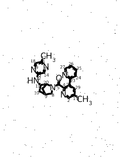 Cc1cnc(C(=O)N2CC3CC(Nc4cnc(C)cn4)C2C3)c(-c2ccccn2)c1